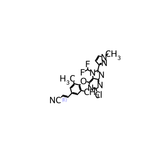 Cc1cc(/C=C/C#N)cc(C)c1Oc1nc(Cl)nc2nc(-c3ccn(C)n3)n(C(F)F)c12